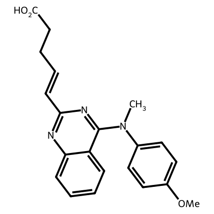 COc1ccc(N(C)c2nc(/C=C/CCC(=O)O)nc3ccccc23)cc1